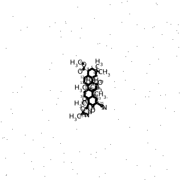 COC(=O)[C@@H]1CC(C)(C)C[C@@H]2C1CC[C@]1(C)[C@@H]2C(=O)C=C2[C@@]3(C)C=C(C#N)C(=O)[C@@](C)(c4nnc(C)o4)[C@@H]3CC[C@]21C